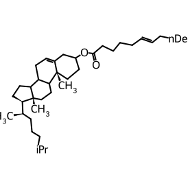 CCCCCCCCCCCC=CCCCCC(=O)OC1CC[C@@]2(C)C(=CCC3C2CC[C@@]2(C)C3CC[C@@H]2[C@H](C)CCCC(C)C)C1